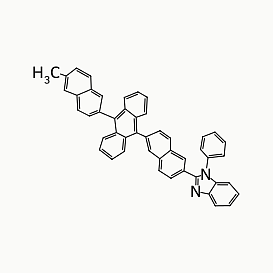 Cc1ccc2cc(-c3c4ccccc4c(-c4ccc5cc(-c6nc7ccccc7n6-c6ccccc6)ccc5c4)c4ccccc34)ccc2c1